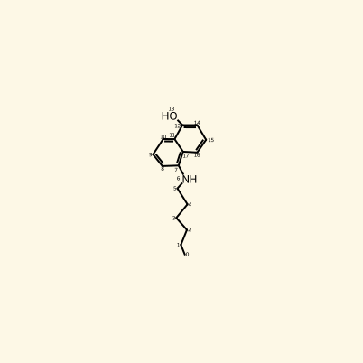 CCCCCCNc1cccc2c(O)cccc12